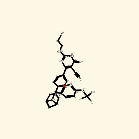 N#Cc1c(-c2ccc(N3CC4CC(C3)N4Cc3ccc(OC(F)(F)F)nc3)nc2)nc(NCCF)[nH]c1=O